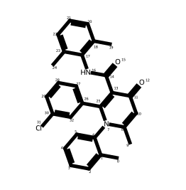 Cc1ccccc1-n1c(C)cc(=O)c(C(=O)Nc2c(C)cccc2C)c1-c1cccc(Cl)c1